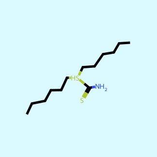 CCCCCC[SH](CCCCCC)C(N)=S